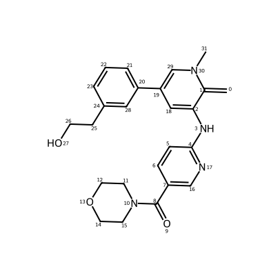 C=C1C(Nc2ccc(C(=O)N3CCOCC3)cn2)=CC(c2cccc(CCO)c2)=CN1C